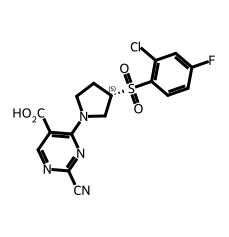 N#Cc1ncc(C(=O)O)c(N2CC[C@H](S(=O)(=O)c3ccc(F)cc3Cl)C2)n1